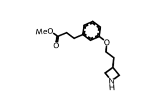 COC(=O)CCc1cccc(OCCC2CNC2)c1